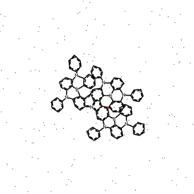 c1ccc(N2c3ccccc3B3c4cc5c6c7c(cc8c9c%10c(ccc9n(c5cc4N(c4ccccc4)c4cccc2c43)c86)N(c2ccccc2)c2cccc3c2B%10c2ccccc2N3c2ccccc2)N(c2ccccc2)c2cccc3c2B7c2ccccc2N3c2ccccc2)cc1